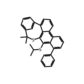 CC(C)Sc1c2c3c(cccc3c3cccc(-c4ccccc4)c13)-c1cccc(c1)C(C)(C)S2